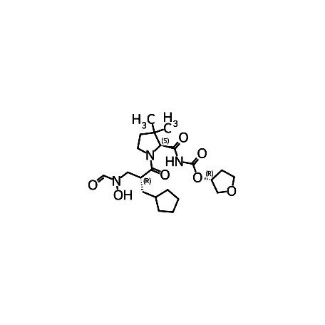 CC1(C)CCN(C(=O)[C@H](CC2CCCC2)CN(O)C=O)[C@@H]1C(=O)NC(=O)O[C@@H]1CCOC1